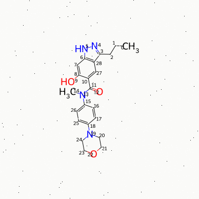 CCCc1n[nH]c2cc(O)c(C(=O)N(C)c3ccc(N4CCOCC4)cc3)cc12